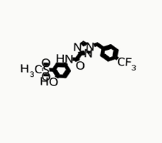 CS(=O)(=O)c1cc(NC(=O)c2ncn(Cc3ccc(C(F)(F)F)cc3)n2)ccc1O